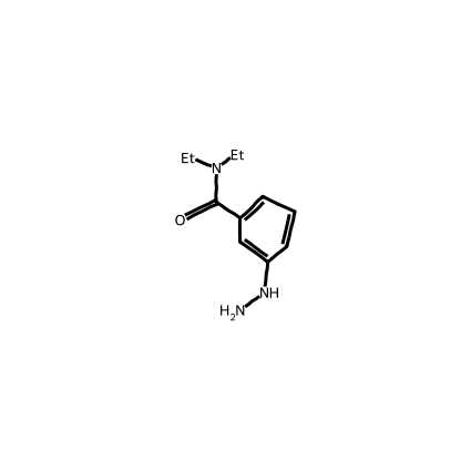 CCN(CC)C(=O)c1cccc(NN)c1